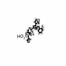 O=C(O)C(Nc1nc(-c2cc(-c3ccon3)n(Cc3ccccc3F)n2)ncc1F)C1COC1